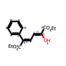 CCOC(=O)/C(O)=C/C=C(/C(=O)OCC)c1ccccc1